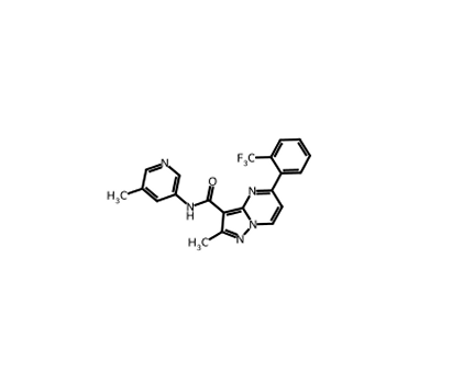 Cc1cncc(NC(=O)c2c(C)nn3ccc(-c4ccccc4C(F)(F)F)nc23)c1